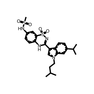 CC(C)CCn1cc(C2=NS(=O)(=O)c3cc(NS(C)(=O)=O)ccc3N2)c2ccc(C(C)C)cc21